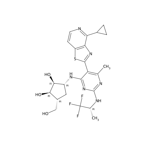 Cc1nc(N[C@H](C)C(F)(F)F)nc(N[C@@H]2C[C@H](CO)[C@@H](O)[C@H]2O)c1-c1nc2c(C3CC3)nccc2s1